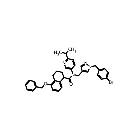 CC(C)c1ccc(N(Cc2cnn(Cc3ccc(Br)cc3)c2)C(=O)C2CCCc3c(OCc4ccccc4)cccc32)cn1